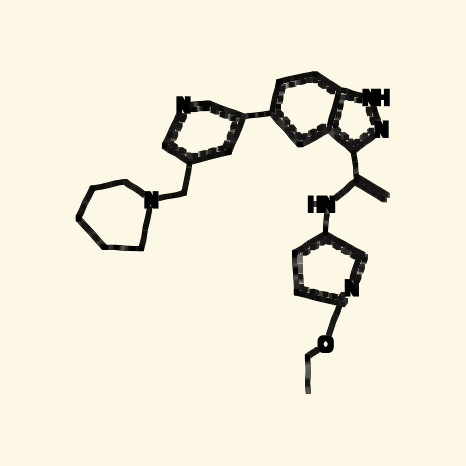 C=C(Nc1ccc(OCC)nc1)c1n[nH]c2ccc(-c3cncc(CN4CCCCC4)c3)cc12